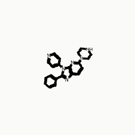 c1ccc(-c2nc3ccc(N4CCNCC4)nc3n2-c2ccncc2)cc1